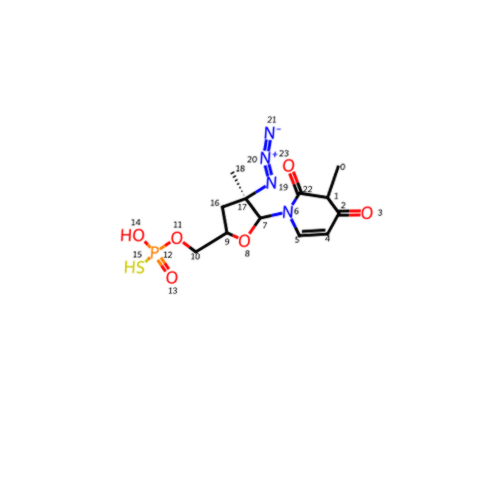 CC1C(=O)C=CN(C2OC(COP(=O)(O)S)C[C@@]2(C)N=[N+]=[N-])C1=O